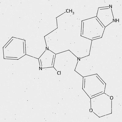 CCCCn1c(-c2ccccc2)nc(Cl)c1CN(Cc1ccc2c(c1)OCCO2)Cc1ccc2cn[nH]c2c1